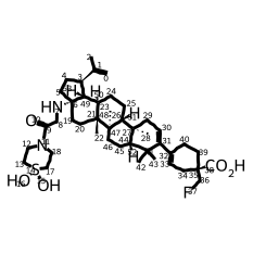 C=C(C)[C@@H]1CC[C@]2(NCC(=O)N3CCS(O)(O)CC3)CC[C@]3(C)[C@H](CC[C@@H]4[C@@]5(C)CC=C(C6=CC[C@](CF)(C(=O)O)CC6)C(C)(C)[C@@H]5CC[C@]43C)[C@@H]12